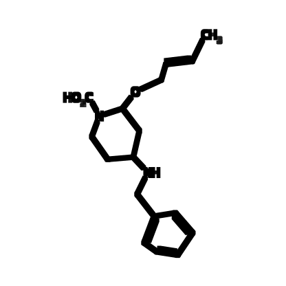 CC=CCOC1CC(NCc2ccccc2)CCN1C(=O)O